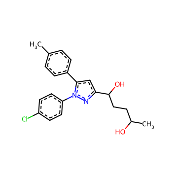 Cc1ccc(-c2cc(C(O)CCC(C)O)nn2-c2ccc(Cl)cc2)cc1